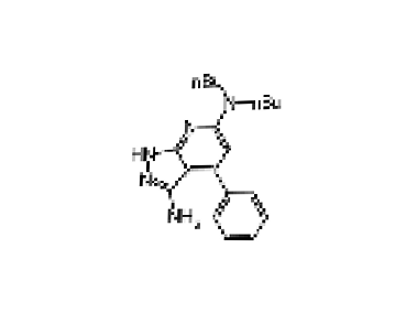 CCCCN(CCCC)c1cc(-c2ccccc2)c2c(N)n[nH]c2n1